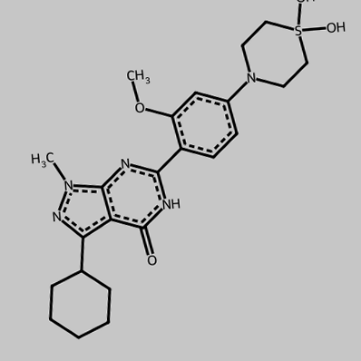 COc1cc(N2CCS(O)(O)CC2)ccc1-c1nc2c(c(C3CCCCC3)nn2C)c(=O)[nH]1